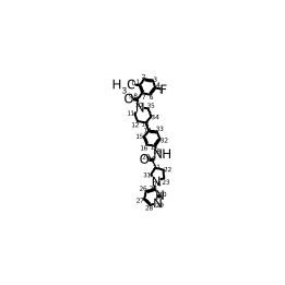 Cc1ccc(F)cc1C(=O)N1CCC(c2ccc(NC(=O)[C@H]3CCN(c4cccnn4)C3)cc2)CC1